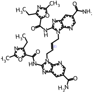 CCc1nc(C)oc1C(=O)Nc1nc2cc(C(N)=O)cnc2n1C/C=C/Cn1c(NC(=O)c2oc(C)nc2CC)nc2cc(C(N)=O)cnc21